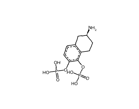 N[C@H]1CCc2c(ccc(OP(=O)(O)O)c2OP(=O)(O)O)C1